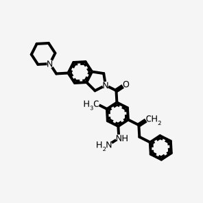 C=C(Cc1ccccc1)c1cc(C(=O)N2Cc3ccc(CN4CCCCC4)cc3C2)c(C)cc1NN